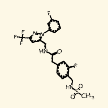 CS(=O)(=O)NCc1ccc(CC(=O)NCc2cc(C(F)(F)F)nn2-c2cccc(F)c2)cc1F